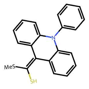 CSC(S)=C1c2ccccc2N(c2ccccc2)c2ccccc21